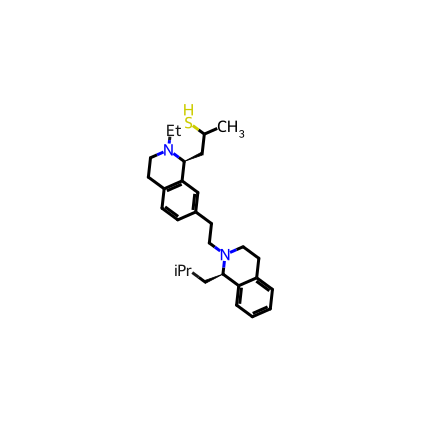 CCN1CCc2ccc(CCN3CCc4ccccc4[C@H]3CC(C)C)cc2[C@@H]1CC(C)S